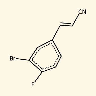 N#CC=Cc1ccc(F)c(Br)c1